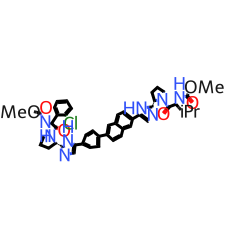 COC(=O)NC(C(=O)N1CCC[C@H]1c1ncc(-c2ccc3cc(-c4ccc(-c5cnc([C@@H]6CCCN6C(=O)[C@@H](NC(=O)OC)c6ccccc6Cl)[nH]5)cc4)ccc3c2)[nH]1)C(C)C